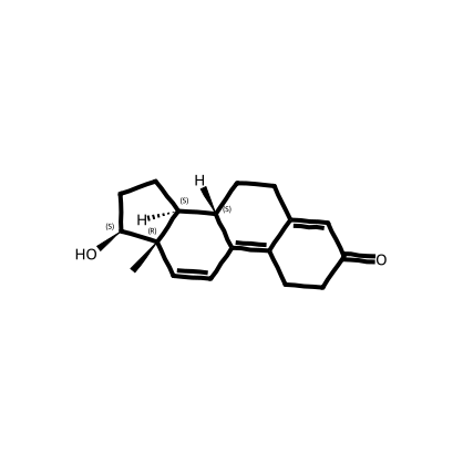 C[C@]12C=CC3=C4CCC(=O)C=C4CC[C@H]3[C@@H]1CC[C@@H]2O